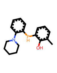 Cc1cccc(Pc2ccccc2N2CCCCC2)c1O